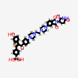 O=C1CCC(N2C(=O)c3ccc(N4CCN(CCN5CCN(c6ccc(C(=O)c7c(-c8ccc(B(O)O)cc8)sc8cc(O)ccc78)cc6)CC5)CC4)cc3C2=O)C(=O)N1